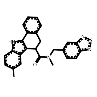 CN(Cc1ccc2nsnc2c1)C(=O)C1Cc2ccccc2-c2[nH]c3ccc(F)cc3c21